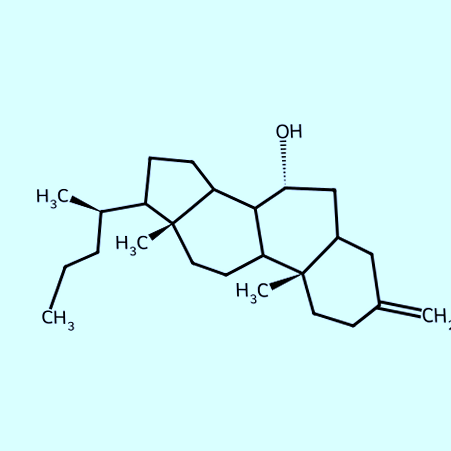 C=C1CC[C@@]2(C)C(C1)C[C@@H](O)C1C2CC[C@@]2(C)C1CCC2[C@H](C)CCC